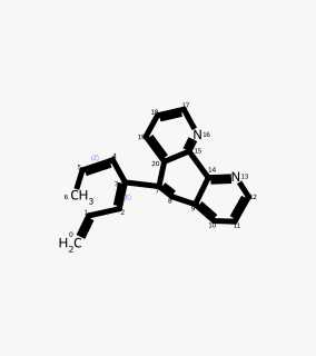 C=C/C=C(\C=C/C)c1cc2cccnc2c2ncccc12